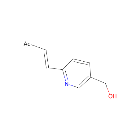 CC(=O)/C=C/c1ccc(CO)cn1